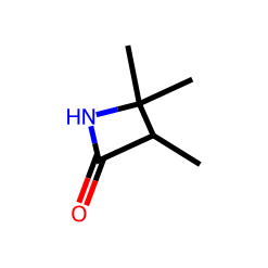 CC1C(=O)NC1(C)C